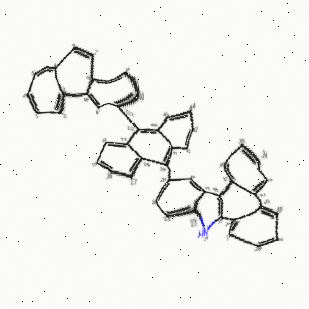 c1ccc2c(c1)ccc1ccc(-c3c4ccccc4c(-c4ccc5[nH]c6c7ccccc7c7ccccc7c6c5c4)c4ccccc34)cc12